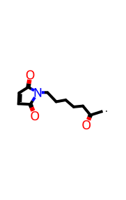 [CH2]C(=O)CCCCCN1C(=O)C=CC1=O